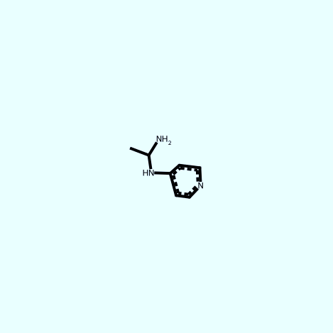 CC(N)Nc1ccncc1